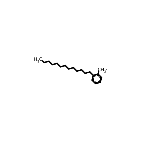 [CH2]c1ccccc1CCCCCCCCCCCCC